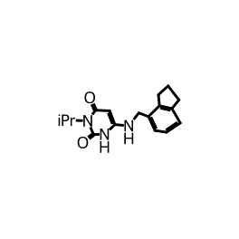 CC(C)n1c(=O)cc(NCc2cccc3c2CCC3)[nH]c1=O